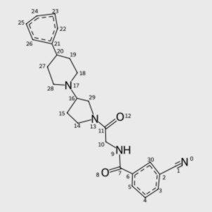 N#Cc1cccc(C(=O)NCC(=O)N2CCC(N3CCC(c4ccccc4)CC3)C2)c1